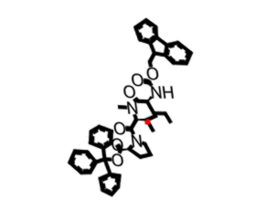 CC[C@H](C)[C@H](NC(=O)OCC1c2ccccc2-c2ccccc21)C(=O)N(C)[C@H](C(=O)N1CCC[C@H]1C(=O)OC(c1ccccc1)(c1ccccc1)c1ccccc1)C(C)C